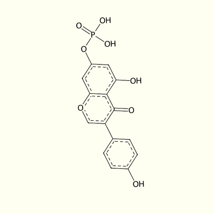 O=c1c(-c2ccc(O)cc2)coc2cc(OP(=O)(O)O)cc(O)c12